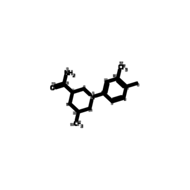 Cc1ccc(N2CC(C(N)=O)CC(C(F)(F)F)C2)cc1C(F)(F)F